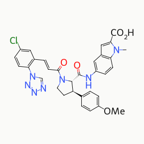 COc1ccc([C@H]2CCN(C(=O)/C=C/c3cc(Cl)ccc3-n3cnnn3)[C@@H]2C(=O)Nc2ccc3c(c2)cc(C(=O)O)n3C)cc1